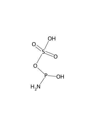 NP(O)OS(=O)(=O)O